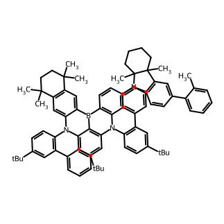 Cc1ccccc1-c1ccc2c(c1)C1(C)CCCCC1(C)N2c1ccc2c(c1)N(c1ccc(C(C)(C)C)cc1-c1ccccc1)c1cc(C(C)(C)C)cc3c1B2c1cc2c(cc1N3c1ccc(C(C)(C)C)cc1-c1ccccc1)C(C)(C)CCC2(C)C